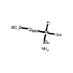 CCCC[P+](CC)(CCCC)CCCC.N.O=S(=O)([O-])O